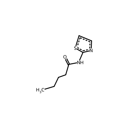 CCCCC(=O)Nc1nccs1